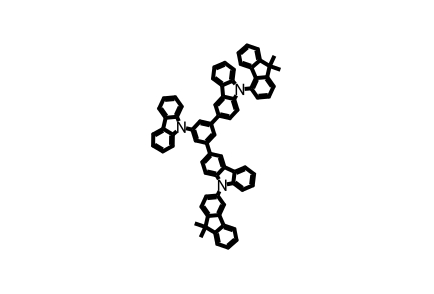 CC1(C)c2ccccc2-c2cc(-n3c4ccccc4c4cc(-c5cc(-c6ccc7c(c6)c6ccccc6n7-c6cccc7c6-c6ccccc6C7(C)C)cc(-n6c7ccccc7c7ccccc76)c5)ccc43)ccc21